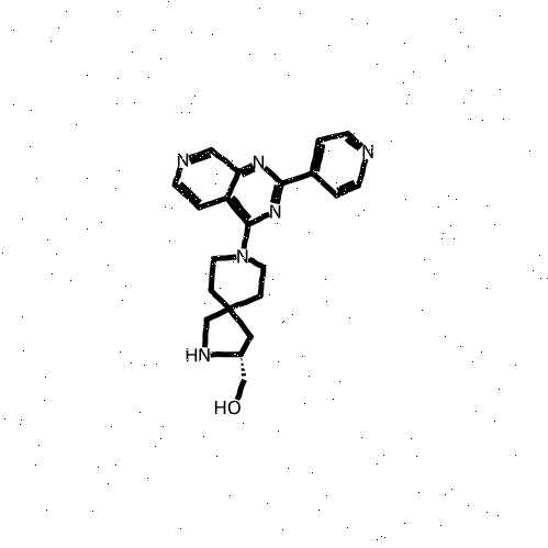 OC[C@H]1CC2(CCN(c3nc(-c4ccncc4)nc4cnccc34)CC2)CN1